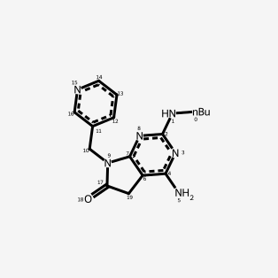 CCCCNc1nc(N)c2c(n1)N(Cc1cccnc1)C(=O)C2